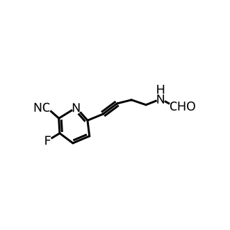 N#Cc1nc(C#CCCNC=O)ccc1F